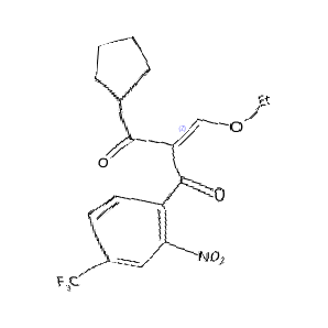 CCO/C=C(\C(=O)c1ccc(C(F)(F)F)cc1[N+](=O)[O-])C(=O)C1CCCC1